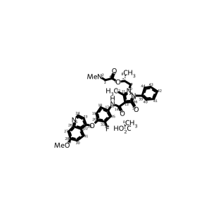 CC(=O)O.CNCC(=O)O[C@H](C)Cn1c(C)c(C(=O)Nc2ccc(Oc3ccnc4cc(OC)ccc34)c(F)c2)c(=O)n1-c1ccccc1